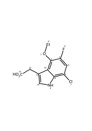 CCOc1c(F)cc(Cl)c2[nH]cc(CC(=O)O)c12